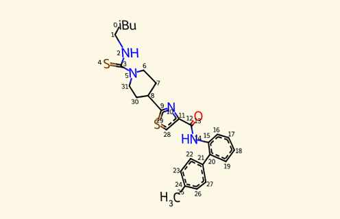 CCC(C)CNC(=S)N1CCC(c2nc(C(=O)Nc3ccccc3-c3ccc(C)cc3)cs2)CC1